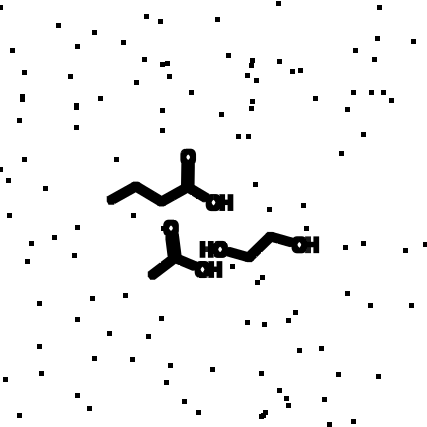 CC(=O)O.CCCC(=O)O.OCCO